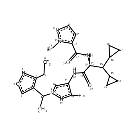 CC(c1conc1CC(F)(F)F)n1cc(NC(=O)[C@@H](NC(=O)c2ccnn2C(C)C)C(C2CC2)C2CC2)c(F)n1